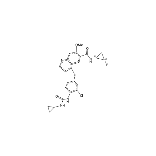 COc1cc2nccc(Oc3ccc(NC(=O)NC4CC4)c(Cl)c3)c2cc1C(=O)N[C@@H]1C[C@@H]1F